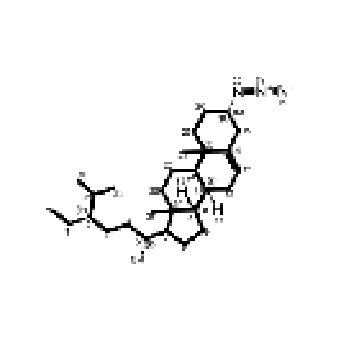 CC[C@H](CC[C@@H](C)C1CC[C@H]2[C@@H]3CC=C4C[C@@H](N=[N+]=[N-])CCC4(C)C3CCC12C)C(C)C